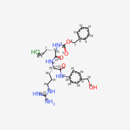 CC(C)C[C@H](NC(=O)OCc1ccccc1)C(=O)N[C@@H](CCCNC(=N)N)C(=O)Nc1ccc(CO)cc1.Cl